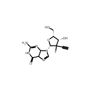 C#CC1(F)[C@@H](O)[C@@H](CO)O[C@H]1N1C=NC2C(=O)NC(N)=NC21